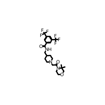 CC1(C)COCCN1C(=O)CN1CCC(CNC(=O)c2cc(C(F)(F)F)cc(C(F)(F)F)c2)CC1